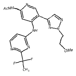 COCCn1ncc(-c2cnc(NC(C)=O)cc2Nc2ccnc(C(C)(F)F)n2)n1